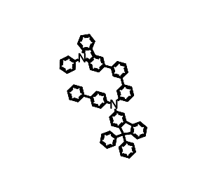 c1ccc(-c2ccc(N(c3cccc(-c4cccc(-c5ccc6c(c5)c5ccccc5n6-c5ccccc5)c4)c3)c3ccc4c(c3)-c3ccccc3C4(c3ccccc3)c3ccccc3)cc2)cc1